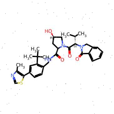 Cc1ncsc1-c1ccc(CNC(=O)C2C[C@@H](O)CN2C(=O)[C@H](C(C)C)N2Cc3ccccc3C2=O)c(C(C)(C)C)c1